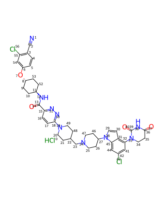 Cl.N#Cc1ccc(O[C@H]2CC[C@H](NC(=O)c3ccc(N4CCC(CN5CCC(n6ccc7c(N8CCC(=O)NC8=O)cc(Cl)cc76)CC5)CC4)nn3)CC2)cc1Cl